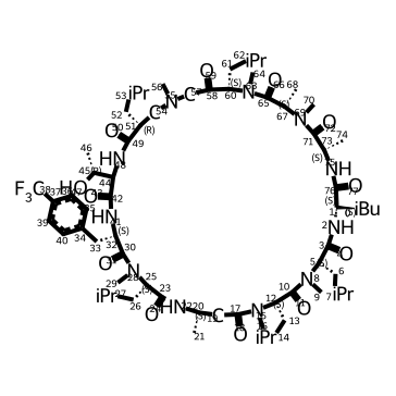 CC[C@H](C)[C@@H]1NC(=O)[C@H](CC(C)C)N(C)C(=O)[C@H](CC(C)C)N(C)C(=O)C[C@H](C)NC(=O)[C@H](CC(C)C)N(C)C(=O)[C@H](Cc2ccc(C(F)(F)F)cc2)NC(=O)C([C@@H](C)O)NC(=O)[C@H](CC(C)C)CN(C)CC(=O)[C@H](CC(C)C)N(C)C(=O)[C@H](C)N(C)C(=O)[C@H](C)NC1=O